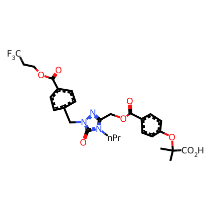 CCCn1c(COC(=O)c2ccc(OC(C)(C)C(=O)O)cc2)nn(Cc2ccc(C(=O)OCCC(F)(F)F)cc2)c1=O